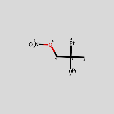 CCCC(C)(CC)CO[N+](=O)[O-]